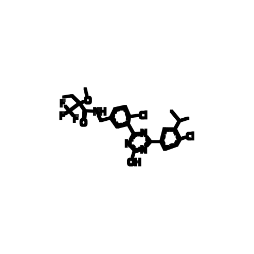 CCC(OC)(C(=O)NCc1ccc(Cl)c(-c2nc(O)nc(-c3ccc(Cl)c(C(C)C)c3)n2)c1)C(F)(F)F